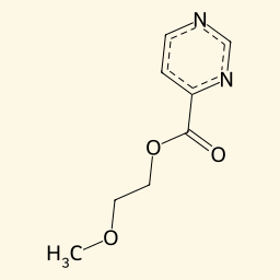 COCCOC(=O)c1ccncn1